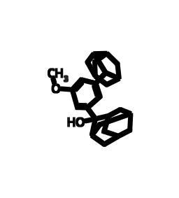 COc1cc(C2C3CC4CC(C3)C2C4)cc(C2(O)C3CC4CC(C3)CC2C4)c1